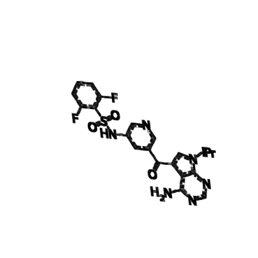 CC(C)n1cc(C(=O)c2cncc(NS(=O)(=O)c3c(F)cccc3F)c2)c2c(N)ncnc21